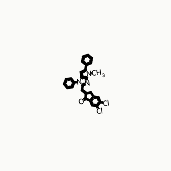 Cn1c(-c2ccccc2)cc2c1nc(/C=C1\Cc3cc(Cl)c(Cl)cc3C1=O)n2-c1ccccc1